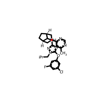 Cc1cc(N2C[C@H]3CC[C@@H](C2)C3Nc2nc(Oc3cc(F)cc(Cl)c3)n(CC(C)C)n2)ncn1